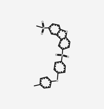 Cc1ccc(Oc2ccc(S(=O)(=O)c3ccc4oc5ccc(S(C)(=O)=O)cc5c4c3)cc2)cc1